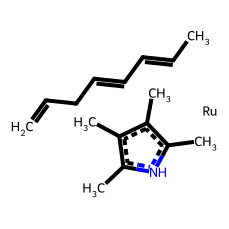 C=CCC=CC=CC.Cc1[nH]c(C)c(C)c1C.[Ru]